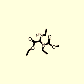 CCNC(C(=O)OCC)N(CC)C(=O)OC